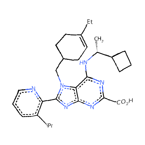 CCC1=CCC(Cn2c(-c3ncccc3C(C)C)nc3nc(C(=O)O)nc(N[C@H](C)C4CCC4)c32)CC1